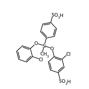 C[Si](Oc1ccccc1Cl)(Oc1ccc(S(=O)(=O)O)cc1Cl)c1ccc(S(=O)(=O)O)cc1